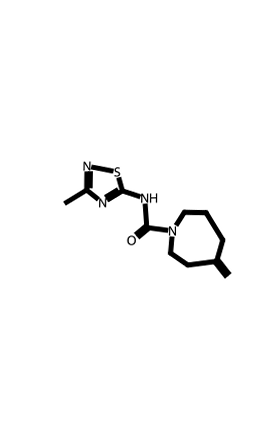 C=C1CCCN(C(=O)Nc2nc(C)ns2)CC1